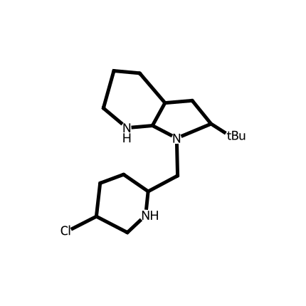 CC(C)(C)C1CC2CCCNC2N1CC1CCC(Cl)CN1